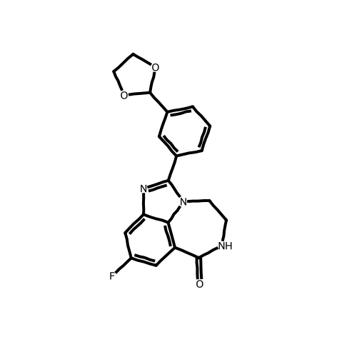 O=C1NCCn2c(-c3cccc(C4OCCO4)c3)nc3cc(F)cc1c32